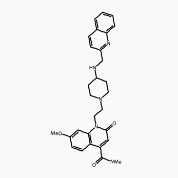 CNC(=O)c1cc(=O)n(CCN2CCC(NCc3ccc4ccccc4n3)CC2)c2cc(OC)ccc12